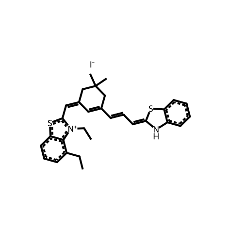 CCc1cccc2sc(C=C3C=C(C=CC=C4Nc5ccccc5S4)CC(C)(C)C3)[n+](CC)c12.[I-]